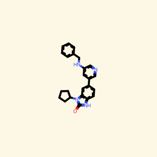 O=c1[nH]c2ccc(-c3cncc(NCc4ccccc4)c3)cc2n1C1CCCC1